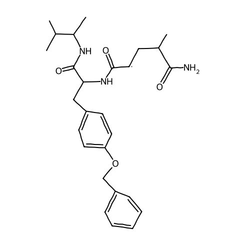 CC(C[CH]C(=O)NC(Cc1ccc(OCc2ccccc2)cc1)C(=O)NC(C)C(C)C)C(N)=O